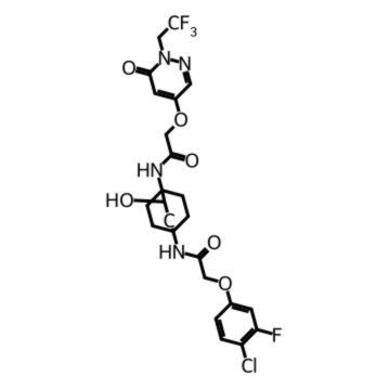 O=C(COc1ccc(Cl)c(F)c1)NC12CCC(NC(=O)COc3cnn(CC(F)(F)F)c(=O)c3)(CC1)C(O)C2